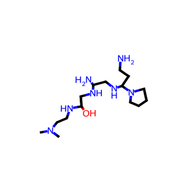 CN(C)CCNC(O)CNC(N)CNC(CCN)N1CCCC1